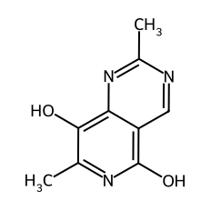 Cc1ncc2c(O)nc(C)c(O)c2n1